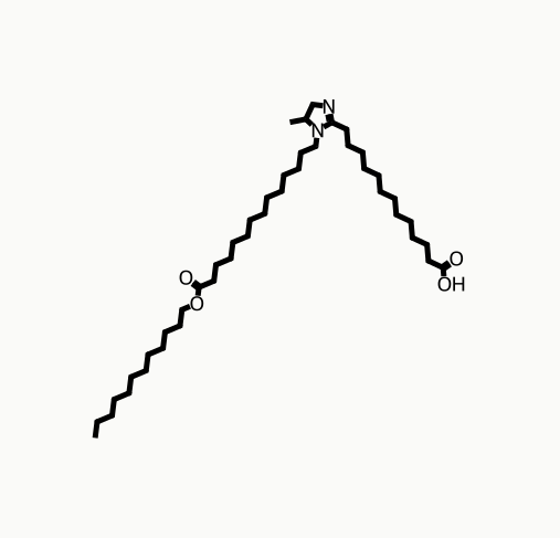 CCCCCCCCCCCCOC(=O)CCCCCCCCCCCCCN1C(CCCCCCCCCCCCC(=O)O)=NCC1C